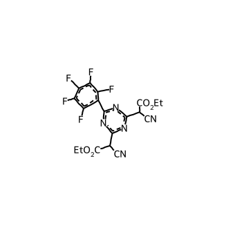 CCOC(=O)C(C#N)c1nc(-c2c(F)c(F)c(F)c(F)c2F)nc(C(C#N)C(=O)OCC)n1